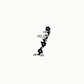 CCCC(CCC)c1ccc(COc2ccc(-c3csc(CN(CC(=O)O)Cc4nc5ccccc5[nH]4)n3)c(C)c2)cc1